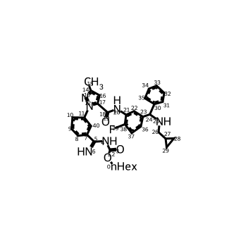 CCCCCCOC(=O)NC(=N)c1cccc(-n2nc(C)cc2C(=O)Nc2cc(C(NCC3CC3)c3ccccc3)ccc2F)c1